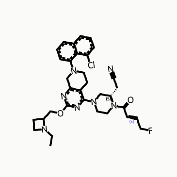 CCN1CCC1COc1nc2c(c(N3CCN(C(=O)/C=C/CF)[C@@H](CC#N)C3)n1)CCN(c1cccc3cccc(Cl)c13)C2